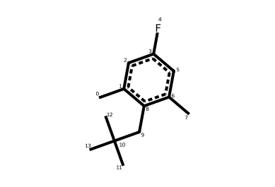 Cc1cc(F)cc(C)c1CC(C)(C)C